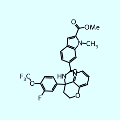 COC(=O)c1cc2ccc(C(=O)NC3(c4ccc(OC(F)(F)F)c(F)c4)CCOc4cccnc43)cc2n1C